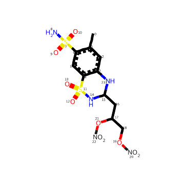 Cc1cc2c(cc1S(N)(=O)=O)S(=O)(=O)NC(CC(CO[N+](=O)[O-])O[N+](=O)[O-])N2